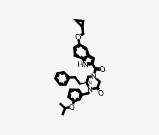 CC(C)Oc1cccc(CN2C(=O)CN(C(=O)c3cc4cc(OCC5CC5)ccc4[nH]3)C[C@@H]2CCc2ccccc2)c1